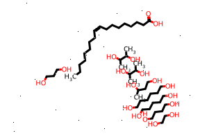 CC(O)C(C)O.CC(O)C(C)O.CC(O)CCO.CCCCCCCC/C=C\CCCCCCCC(=O)O.OCCCCCCO.OCCCCCO.OCCCCO.OCCCO.OCCO